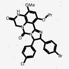 COc1cc(OC(C)C)c2c3c1NC(=O)CN3C(=O)N1C2=NC(c2ccc(Br)cc2)C1c1ccc(Cl)cc1